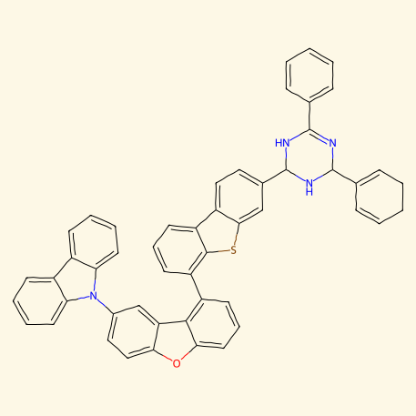 C1=CC(C2N=C(c3ccccc3)NC(c3ccc4c(c3)sc3c(-c5cccc6oc7ccc(-n8c9ccccc9c9ccccc98)cc7c56)cccc34)N2)=CCC1